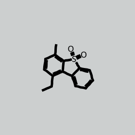 CCc1ccc(C)c2c1-c1ccccc1S2(=O)=O